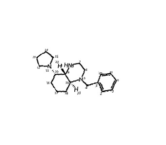 c1ccc(CN2CCN[C@H]3[C@@H](N4CCCC4)CCC[C@@H]32)cc1